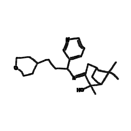 CC1(O)C(=NC(CCC2CCOCC2)c2cccnc2)CC2CC1C2(C)C